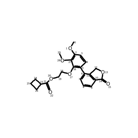 COc1ccc(-c2cccc3c2COC3=O)c(OCCOC(=O)C2CCC2)c1OC